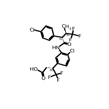 C[C@H]([C@H](C(=O)Nc1cc([C@@H](CC(=O)O)C(F)(F)F)ccc1Cl)c1ccc(Cl)cc1)C(F)(F)F